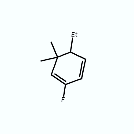 [CH2]CC1C=CC(F)=CC1(C)C